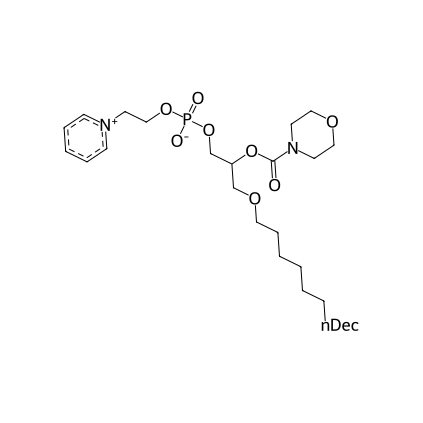 CCCCCCCCCCCCCCCCOCC(COP(=O)([O-])OCC[n+]1ccccc1)OC(=O)N1CCOCC1